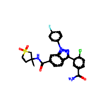 CC1(NC(=O)c2ccc3c(-c4cc(C(N)=O)ccc4Cl)nn(-c4ccc(F)cc4)c3c2)CCS(=O)(=O)C1